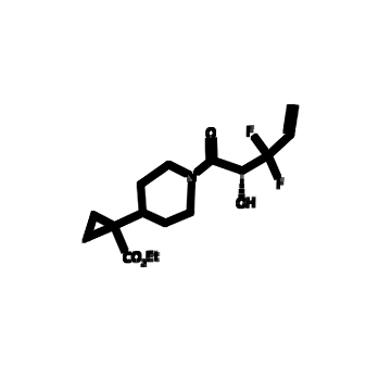 C=CC(F)(F)[C@H](O)C(=O)N1CCC(C2(C(=O)OCC)CC2)CC1